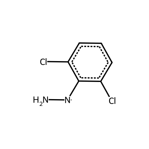 N[N]c1c(Cl)cccc1Cl